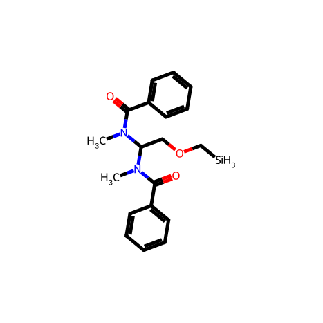 CN(C(=O)c1ccccc1)C(COC[SiH3])N(C)C(=O)c1ccccc1